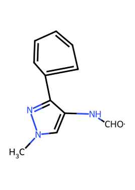 Cn1cc(N[C]=O)c(-c2ccccc2)n1